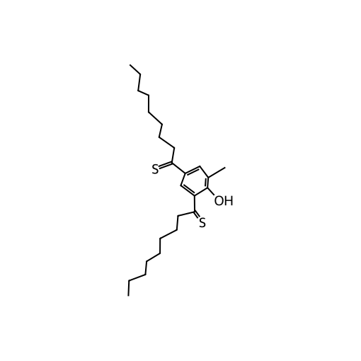 CCCCCCCCC(=S)c1cc(C)c(O)c(C(=S)CCCCCCCC)c1